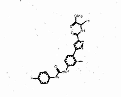 COC(=O)C(NC(=O)c1cc(-c2ccc(NC(=O)Nc3ccc(F)cc3)cc2C)no1)C(C)C